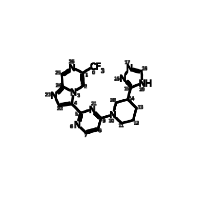 FC(F)(F)c1cn2c(-c3nccc(N4CCCC(c5nnc[nH]5)C4)n3)cnc2cn1